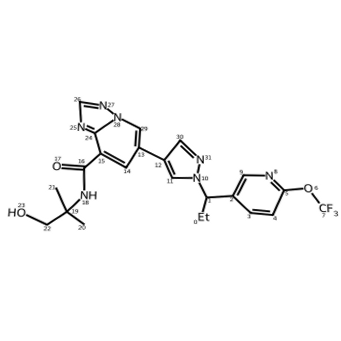 CCC(c1ccc(OC(F)(F)F)nc1)n1cc(-c2cc(C(=O)NC(C)(C)CO)c3ncnn3c2)cn1